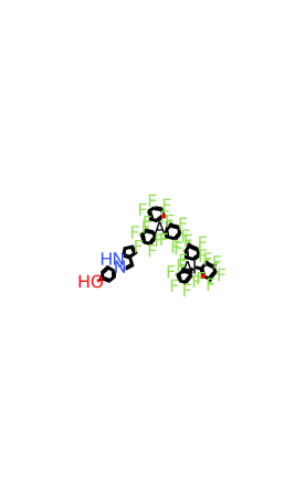 Fc1c(F)c(F)[c]([Al]([c]2c(F)c(F)c(F)c(F)c2F)[c]2c(F)c(F)c(F)c(F)c2F)c(F)c1F.Fc1c(F)c(F)[c]([Al]([c]2c(F)c(F)c(F)c(F)c2F)[c]2c(F)c(F)c(F)c(F)c2F)c(F)c1F.Oc1ccc(N2C=CC3=C(CC=C3)N2)cc1